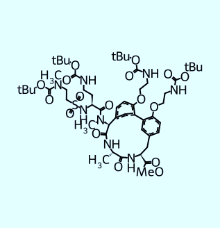 COC(=O)[C@@H]1Cc2ccc(OCCNC(=O)OC(C)(C)C)c(c2)-c2cc(ccc2OCCNC(=O)OC(C)(C)C)[C@H](N(C)C(=O)[C@H](CCNC(=O)OC(C)(C)C)NS(=O)(=O)CCN(C)C(=O)OC(C)(C)C)C(=O)N[C@@H](C)C(=O)N1